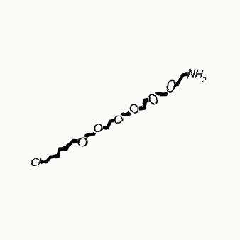 NCCOCCOCCOCCOCCOCCOCCCCCCCl